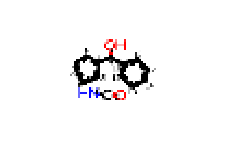 N=C=O.OC(c1ccccc1)c1ccccc1